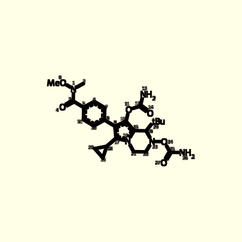 CON(C)C(=O)c1ccc(-c2c(OC(N)=O)c3n(c2C2CC2)CCN(OC(N)=O)C3C(C)(C)C)cc1